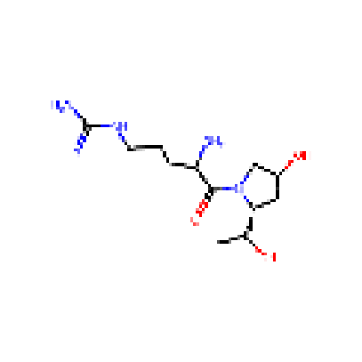 CB(O)[C@@H]1C[C@H](O)CN1C(=O)C(N)CCCNC(=N)N